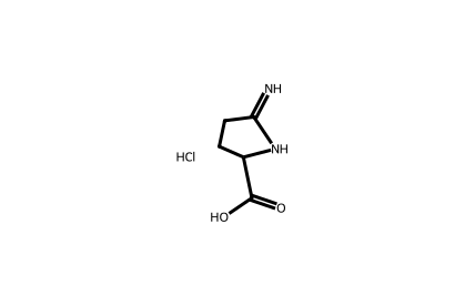 Cl.N=C1CCC(C(=O)O)N1